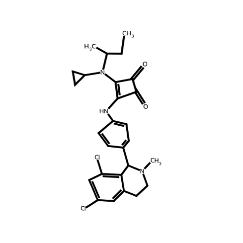 CCC(C)N(c1c(Nc2ccc(C3c4c(Cl)cc(Cl)cc4CCN3C)cc2)c(=O)c1=O)C1CC1